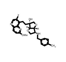 COc1ccc2ncc(F)c(CC[C@@]3(O)CO[C@@H]4[C@@H](NCc5ccc(C)cc5)CO[C@@H]43)c2n1